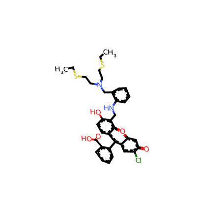 CCSCCN(CCSCC)Cc1ccccc1NCc1c(O)ccc2c(-c3ccccc3C(=O)O)c3cc(Cl)c(=O)cc-3oc12